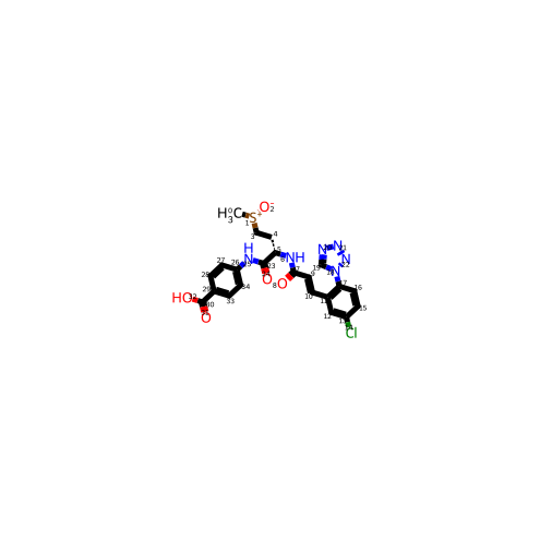 C[S+]([O-])CC[C@H](NC(=O)/C=C/c1cc(Cl)ccc1-n1cnnn1)C(=O)Nc1ccc(C(=O)O)cc1